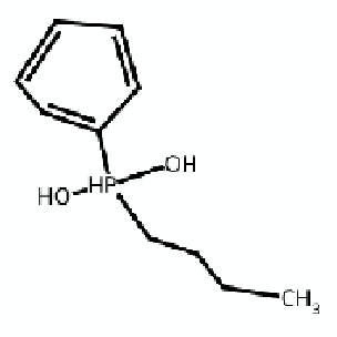 CCCC[PH](O)(O)c1ccccc1